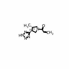 C=CC(=O)N1C[C@@H](C)[C@H](c2nn[nH]n2)C1